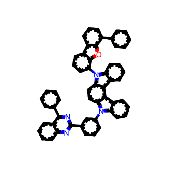 c1ccc(-c2nc(-c3cccc(-n4c5ccccc5c5c6c7ccccc7n(-c7cccc8c7oc7c(-c9ccccc9)cccc78)c6ccc54)c3)nc3ccccc23)cc1